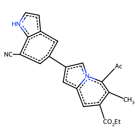 CCOC(=O)c1cc2cc(-c3cc(C#N)c4[nH]ccc4c3)cn2c(C(C)=O)c1C